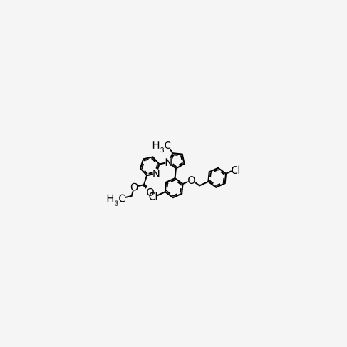 CCOC(=O)c1cccc(-n2c(C)ccc2-c2cc(Cl)ccc2OCc2ccc(Cl)cc2)n1